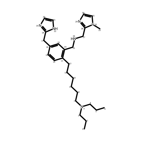 CCCN(CCC)CCCC[CH]Cc1ccc(Cc2ncc[nH]2)cc1CNCc1nccn1C